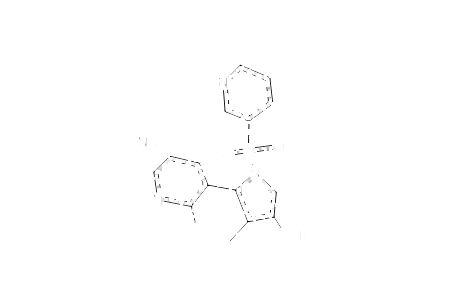 Cc1c(C=O)cn(S(=O)(=O)c2cccnc2)c1-c1cccnc1F.[NaH]